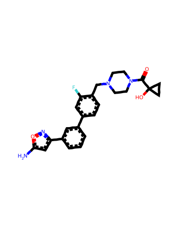 Nc1cc(-c2cccc(-c3ccc(CN4CCN(C(=O)C5(O)CC5)CC4)c(F)c3)c2)no1